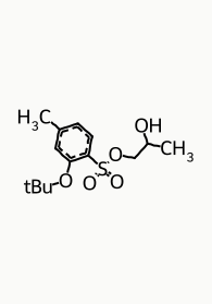 Cc1ccc(S(=O)(=O)OCC(C)O)c(OC(C)(C)C)c1